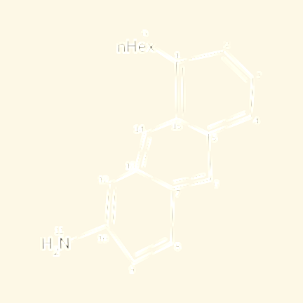 CCCCCCc1cccc2cc3ccc(N)cc3cc12